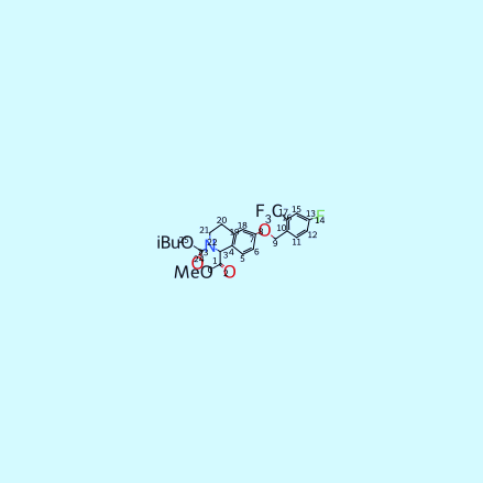 COC(=O)C1c2ccc(OCc3ccc(F)cc3C(F)(F)F)cc2CCN1C(=O)OCC(C)C